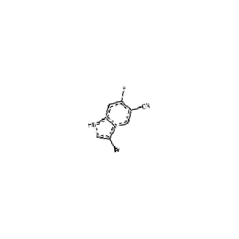 N#Cc1cc2c(Br)c[nH]c2cc1F